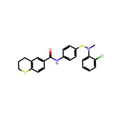 CN(Sc1ccc(NC(=O)c2ccc3c(c2)CCCS3)cc1)c1ccccc1Cl